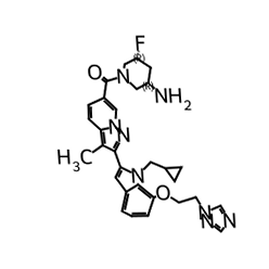 Cc1c(-c2cc3cccc(OCCn4cncn4)c3n2CC2CC2)nn2cc(C(=O)N3C[C@H](N)C[C@@H](F)C3)ccc12